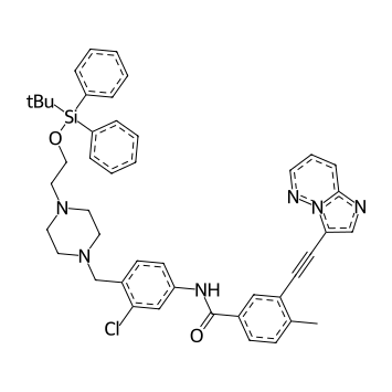 Cc1ccc(C(=O)Nc2ccc(CN3CCN(CCO[Si](c4ccccc4)(c4ccccc4)C(C)(C)C)CC3)c(Cl)c2)cc1C#Cc1cnc2cccnn12